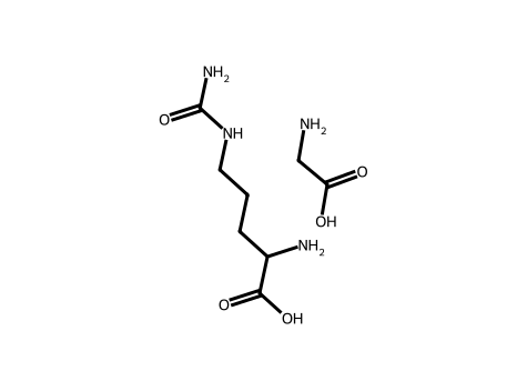 NC(=O)NCCCC(N)C(=O)O.NCC(=O)O